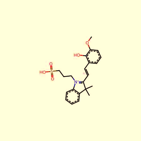 COc1cccc(/C=C/C2=[N+](CCCS(=O)(=O)O)c3ccccc3C2(C)C)c1O